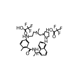 Cc1ccc(NCCN(C)C[C@H]2CCCN2)cc1C(=O)N[C@H](C)c1cccc2ccccc12.O=C(O)C(F)(F)F.O=C(O)C(F)(F)F